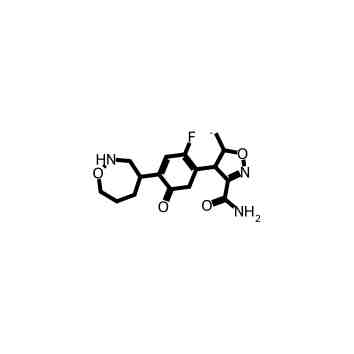 [CH2]C1ON=C(C(N)=O)C1C1=C(F)C=C(C2CCCONC2)C(=O)C1